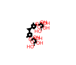 Cc1cc(C2CC2c2ccc(O[C@H]3O[C@H](CO)[C@@H](O)[C@H](O)[C@]3(C)O)c(C)c2)ccc1O[C@H]1O[C@H](CO)[C@@H](O)[C@H](O)[C@]1(C)O